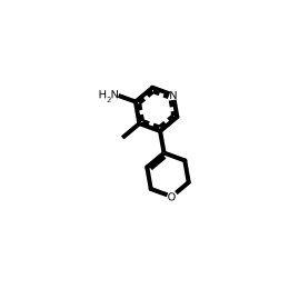 Cc1c(N)cncc1C1=CCOCC1